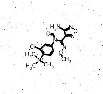 CO/N=C(/c1nonc1N)N(C=O)c1ccc([N+](C)(C)C)c(Cl)c1